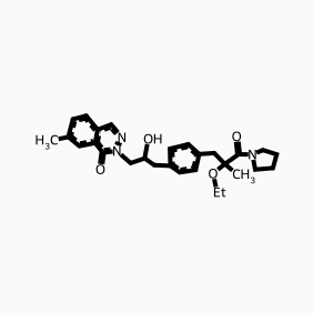 CCOC(C)(Cc1ccc(CC(O)Cn2ncc3ccc(C)cc3c2=O)cc1)C(=O)N1CCCC1